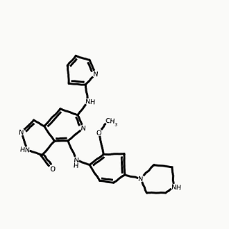 COc1cc(N2CCNCC2)ccc1Nc1nc(Nc2ccccn2)cc2cn[nH]c(=O)c12